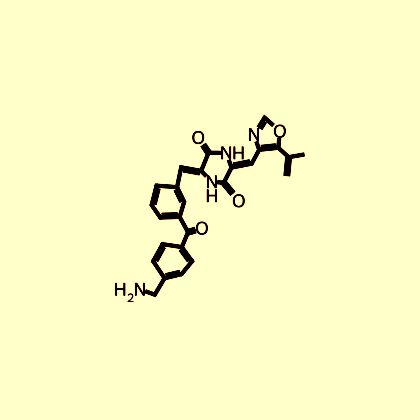 C=C(C)c1ocnc1/C=c1\[nH]c(=O)/c(=C/c2cccc(C(=O)c3ccc(CN)cc3)c2)[nH]c1=O